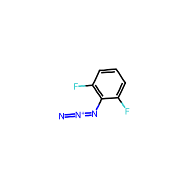 [N-]=[N+]=Nc1c(F)cccc1F